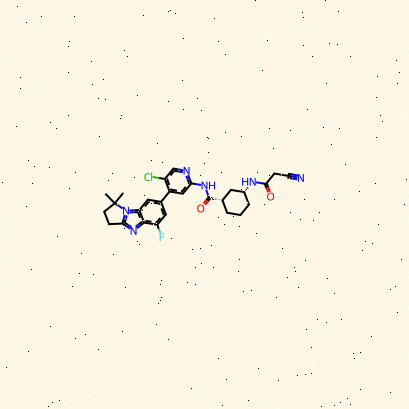 CC1(C)CCc2nc3c(F)cc(-c4cc(NC(=O)[C@H]5CCC[C@@H](NC(=O)CC#N)C5)ncc4Cl)cc3n21